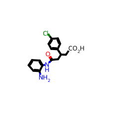 Nc1ccccc1NC(=O)CC(CC(=O)O)c1ccc(Cl)cc1